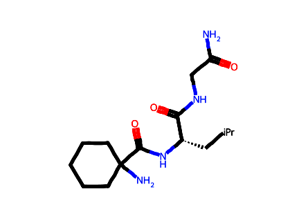 CC(C)C[C@H](NC(=O)C1(N)CCCCC1)C(=O)NCC(N)=O